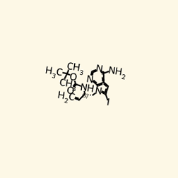 C=C[C@@H](Cn1c(I)cc2c(N)ncnc21)NC(=O)OC(C)(C)C